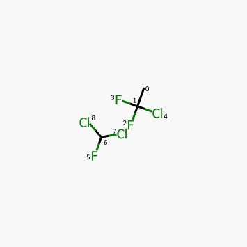 CC(F)(F)Cl.FC(Cl)Cl